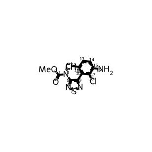 COC(=O)N(C)c1nsnc1-c1c(Cl)ccc(N)c1Cl